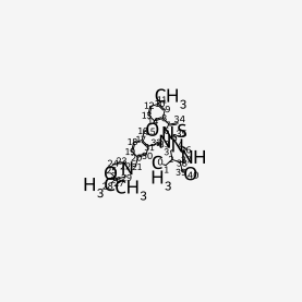 CCC1CN(c2nc(-c3cc(C)ccc3OCc3ccc(CN4CCOC(C)(C)C4)cc3C#N)cs2)CN[C@H]1C=O